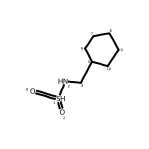 O=[SH](=O)NCC1CCCCC1